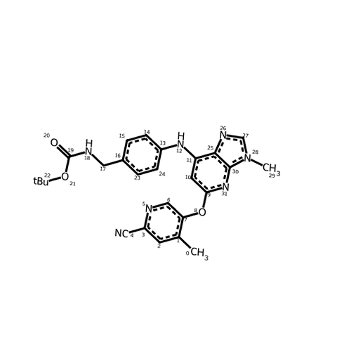 Cc1cc(C#N)ncc1Oc1cc(Nc2ccc(CNC(=O)OC(C)(C)C)cc2)c2ncn(C)c2n1